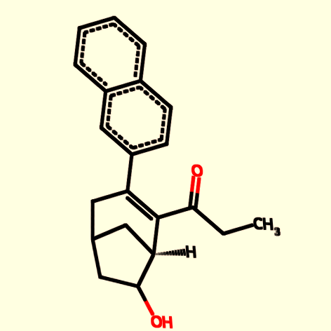 CCC(=O)C1=C(c2ccc3ccccc3c2)CC2CC(O)[C@H]1C2